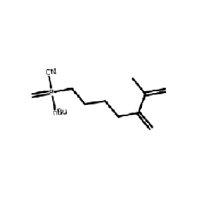 C=C(C)C(=C)CCCCP(=C)(C#N)CCCC